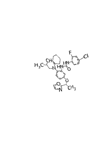 CC(C)CN(c1ccc(OC(C)c2ncco2)cc1NC(=O)Nc1ccc(Cl)cc1F)C1CCCCC1